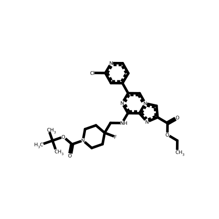 CCOC(=O)c1cn2cc(-c3ccnc(Cl)c3)nc(NCC3(F)CCN(C(=O)OC(C)(C)C)CC3)c2n1